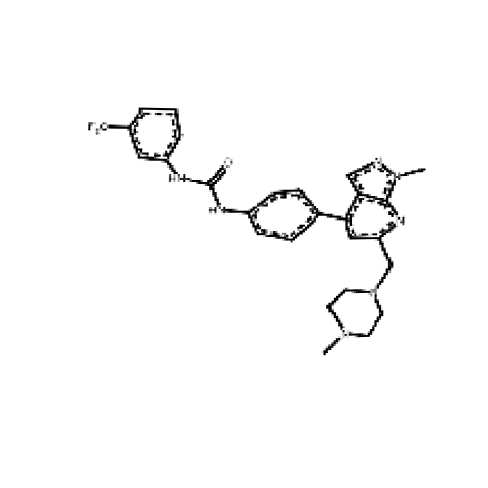 CN1CCN(Cc2cc(-c3ccc(NC(=O)Nc4cccc(C(F)(F)F)c4)cc3)c3cnn(C)c3n2)CC1